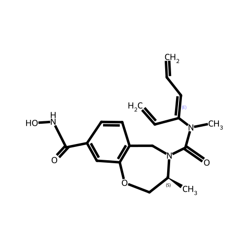 C=C/C=C(\C=C)N(C)C(=O)N1Cc2ccc(C(=O)NO)cc2OC[C@@H]1C